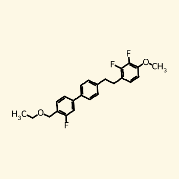 CCOCc1ccc(-c2ccc(CCc3ccc(OC)c(F)c3F)cc2)cc1F